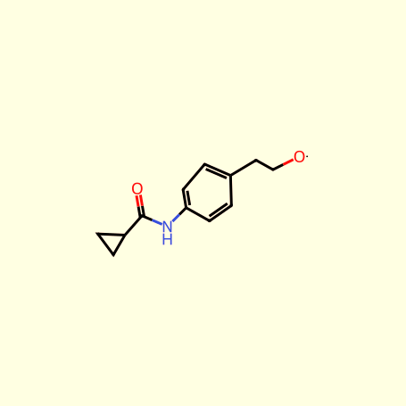 [O]CCc1ccc(NC(=O)C2CC2)cc1